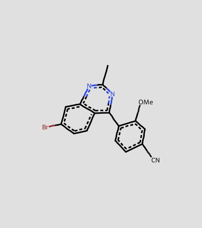 COc1cc(C#N)ccc1-c1nc(C)nc2cc(Br)ccc12